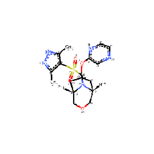 Cc1n[nH]c(C)c1S(=O)(=O)CN1[C@@H]2COC[C@H]1C[C@H](Oc1cnccn1)C2